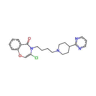 O=C1c2ccccc2OC=C(Cl)N1CCCCN1CCC(c2ncccn2)CC1